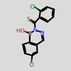 OB1c2ccc(Cl)cc2C=NN1C(=S)c1ccccc1Cl